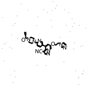 C#CC(=O)N1CCN(c2ccc(-c3cc(OCCn4ccnc4)cn4ncc(C#N)c34)cn2)CC1